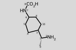 C[C@@H](N)C1CCC(NC(=O)O)CC1